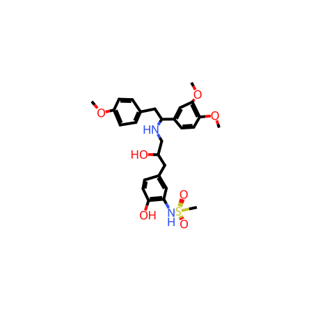 COc1ccc(CC(NCC(O)Cc2ccc(O)c(NS(C)(=O)=O)c2)c2ccc(OC)c(OC)c2)cc1